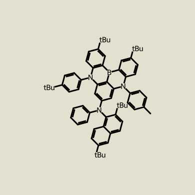 Cc1ccc(N2c3ccc(C(C)(C)C)cc3B3c4cc(C(C)(C)C)ccc4N(c4ccc(C(C)(C)C)cc4)c4cc(N(c5ccccc5)c5c(C(C)(C)C)ccc6cc(C(C)(C)C)ccc56)cc2c43)cc1